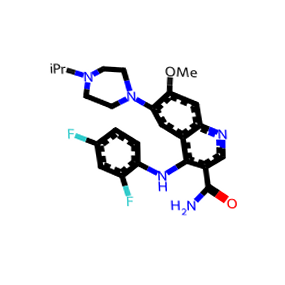 COc1cc2ncc(C(N)=O)c(Nc3ccc(F)cc3F)c2cc1N1CCN(C(C)C)CC1